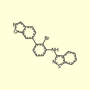 Brc1c(Nc2nsc3ccccc23)cccc1-c1ccc2cnoc2c1